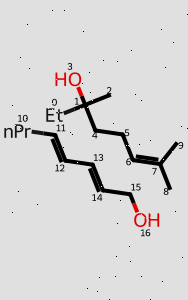 CCC(C)(O)CCC=C(C)C.CCCC=CC=CCO